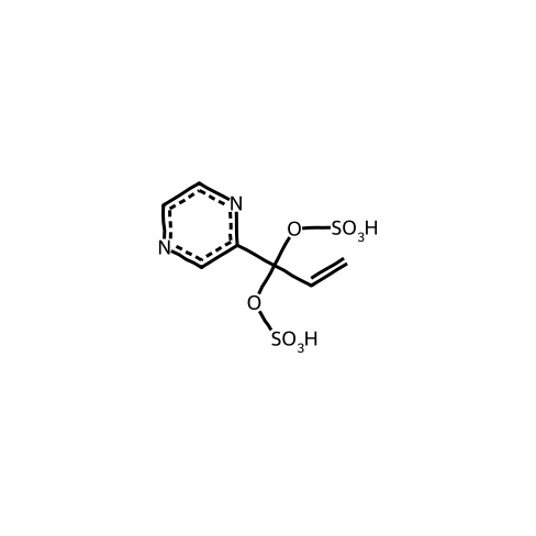 C=CC(OS(=O)(=O)O)(OS(=O)(=O)O)c1cnccn1